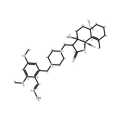 COc1cc(CN2CCN(CC3C(=O)O[C@H]4C5=C(C)CCC[C@]5(C)CCC34O)CC2)c(/C=N/O)c(OC)c1